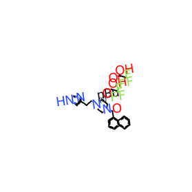 CCCC[C@H]1CN(C(=O)c2cccc3ccccc23)CCN1CCc1c[nH]cn1.O=C(O)C(F)(F)F.O=C(O)C(F)(F)F